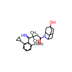 CNc1cccc(C2CC2)c1C(=N)C(C)(C)CC(=O)N1C2CC3CC1CC(O)(C3)C2